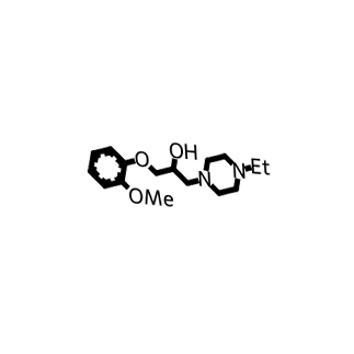 CCN1CCN(CC(O)COc2ccccc2OC)CC1